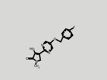 CN1CC(c2ncc(OCc3ccc(F)cc3)cn2)=C(O)C1=O